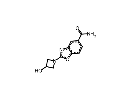 NC(=O)c1ccc2oc(N3CC(O)C3)nc2c1